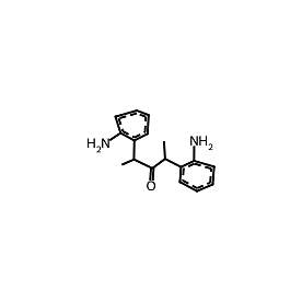 CC(C(=O)C(C)c1ccccc1N)c1ccccc1N